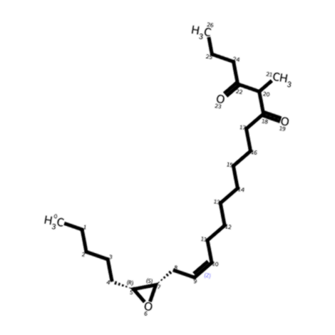 CCCCC[C@H]1O[C@H]1C/C=C\CCCCCCCC(=O)C(C)C(=O)CCC